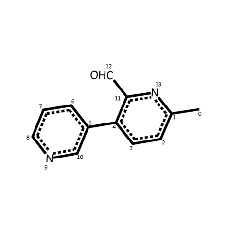 Cc1ccc(-c2cccnc2)c(C=O)n1